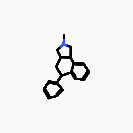 CN1CC2CC(c3ccccc3)c3ccccc3C2C1